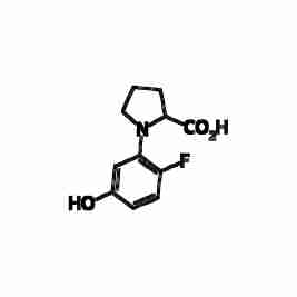 O=C(O)C1CCCN1c1cc(O)ccc1F